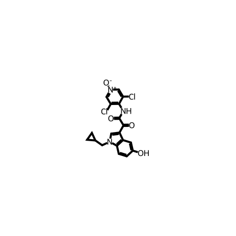 O=C(Nc1c(Cl)c[n+]([O-])cc1Cl)C(=O)c1cn(CC2CC2)c2ccc(O)cc12